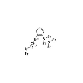 CC[N-]CC.CC[N-]CC.CC[N-]CC.[CH3][Ti+3][C]1=CC=CC1